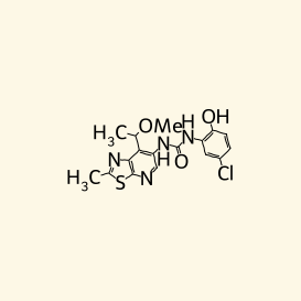 COC(C)c1c(NC(=O)Nc2cc(Cl)ccc2O)cnc2sc(C)nc12